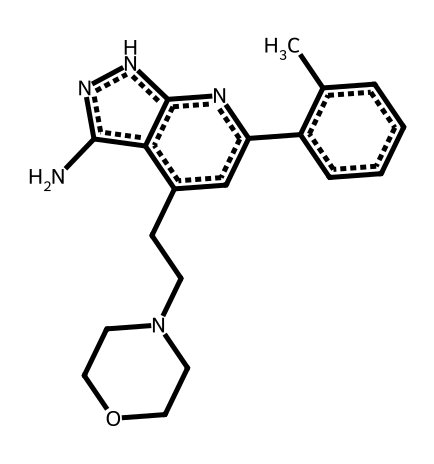 Cc1ccccc1-c1cc(CCN2CCOCC2)c2c(N)n[nH]c2n1